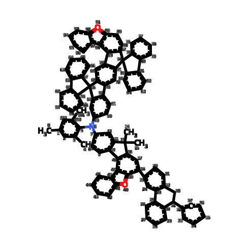 Cc1cc(C)c(N(c2ccc3c(c2)C(C)(C)c2cc(-c4ccc5c(c4)-c4ccccc4C(c4ccccc4)C5)c4oc5ccccc5c4c2-3)c2ccc3c(c2)C2(c4ccccc4-c4ccccc42)c2cc4c(cc2-3)C2(c3ccccc3-c3ccccc32)c2ccc3oc5ccccc5c3c2-4)c(C)c1